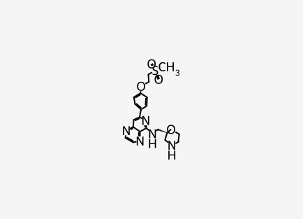 CS(=O)(=O)CCOc1ccc(-c2cc3nccnc3c(NC[C@@H]3CNCCO3)n2)cc1